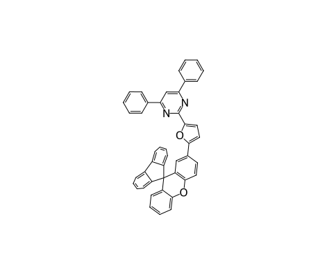 c1ccc(-c2cc(-c3ccccc3)nc(-c3ccc(-c4ccc5c(c4)C4(c6ccccc6O5)c5ccccc5-c5ccccc54)o3)n2)cc1